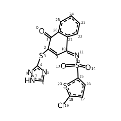 O=C1C(Sc2nc[nH]n2)=C/C(=N\S(=O)(=O)c2ccc(Cl)s2)c2ccccc21